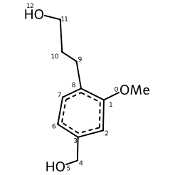 COc1cc(CO)ccc1CCCO